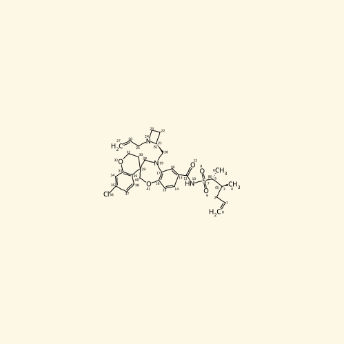 C=CC[C@H](C)[C@@H](C)S(=O)(=O)NC(=O)c1ccc2c(c1)N(C[C@@H]1CCN1CC=C)CC1(CCOc3cc(Cl)ccc31)CO2